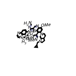 CN/C=C(\C=N)c1cc(\N=C/C(Br)=C(\N=C\N)Nc2ccc3nccnc3c2P(C)(C)=O)c(OC)cc1N1CCC2CCN(CC3CC3)C2C1